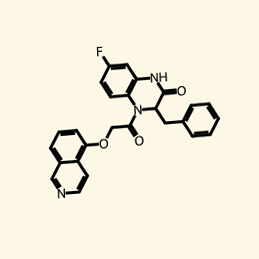 O=C1Nc2cc(F)ccc2N(C(=O)COc2cccc3cnccc23)C1Cc1ccccc1